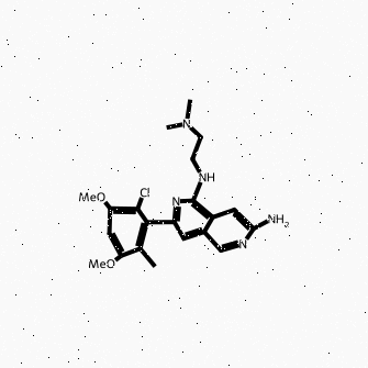 COc1cc(OC)c(Cl)c(-c2cc3cnc(N)cc3c(NCCN(C)C)n2)c1C